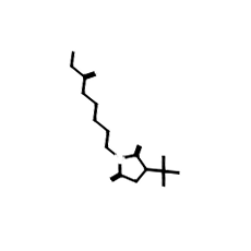 CCC(=O)CCCCCN1C(=O)CC(C(C)(C)C)C1=O